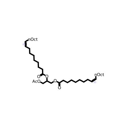 CCCCCCCC/C=C\CCCCCCCC(=O)OCC(COC(C)=O)OC(=O)CCCCCCC/C=C\CCCCCCCC